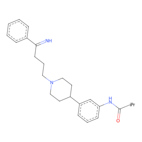 CC(C)C(=O)Nc1cccc(C2CCN(CCCC(=N)c3ccccc3)CC2)c1